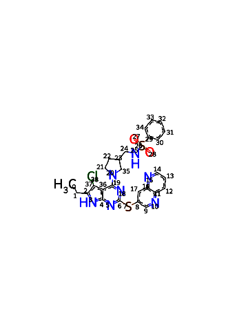 CCc1[nH]c2nc(Sc3cnc4cccnc4c3)nc(N3CCC(CNS(=O)(=O)c4ccccc4)C3)c2c1Cl